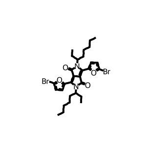 CCCCCC(CC)N1C(=O)C2=C(c3ccc(Br)o3)N(C(CC)CCCCC)C(=O)C2=C1c1ccc(Br)o1